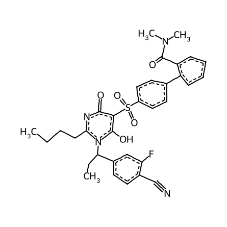 CCCCc1nc(=O)c(S(=O)(=O)c2ccc(-c3ccccc3C(=O)N(C)C)cc2)c(O)n1C(CC)c1ccc(C#N)c(F)c1